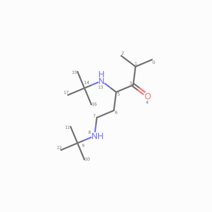 CC(C)C(=O)C(CCNC(C)(C)C)NC(C)(C)C